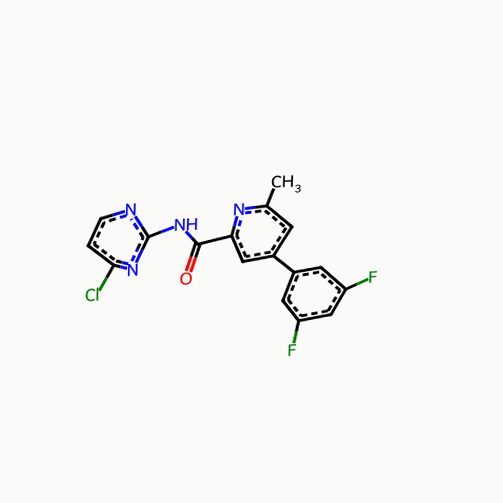 Cc1cc(-c2cc(F)cc(F)c2)cc(C(=O)Nc2nccc(Cl)n2)n1